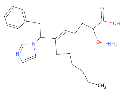 CCCCCCC(=CCCC(ON)C(=O)O)C(Cc1ccccc1)n1ccnc1